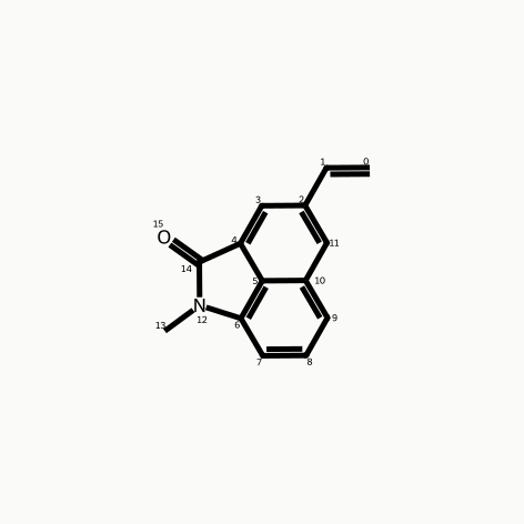 C=Cc1cc2c3c(cccc3c1)N(C)C2=O